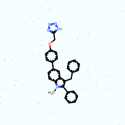 Cn1c(-c2ccccc2)c(Cc2ccccc2)c2cc(-c3ccc(OCc4nnn[nH]4)cc3)ccc21